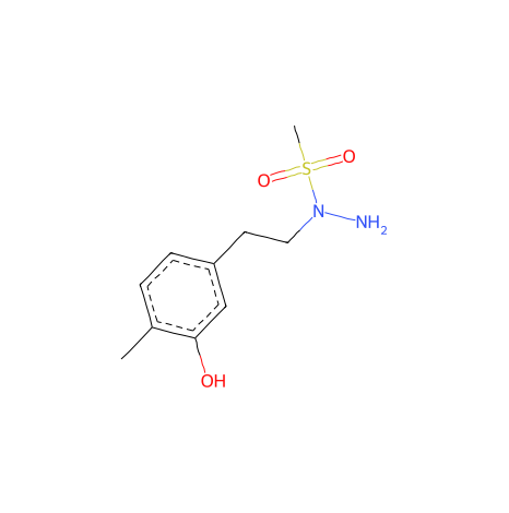 Cc1ccc(CCN(N)S(C)(=O)=O)cc1O